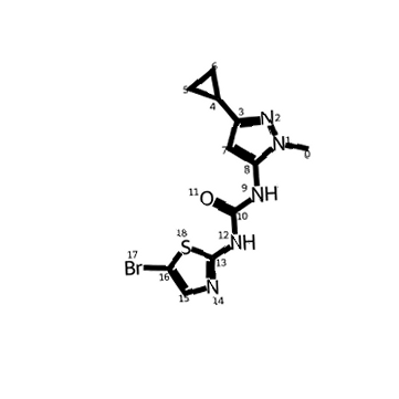 Cn1nc(C2CC2)cc1NC(=O)Nc1ncc(Br)s1